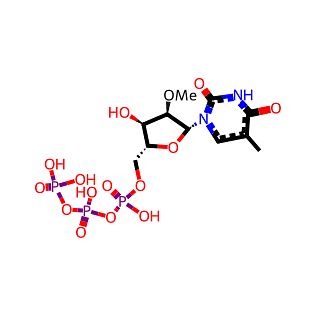 CO[C@@H]1[C@H](O)[C@@H](COP(=O)(O)OP(=O)(O)OP(=O)(O)O)O[C@H]1n1cc(C)c(=O)[nH]c1=O